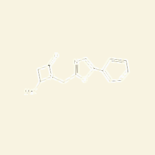 CSC1CC(=O)N1Cc1ncc(-c2ccccc2)o1